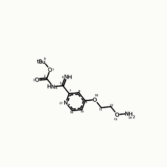 CC(C)(C)OC(=O)NC(=N)c1cc(OCCON)ccn1